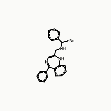 CCCCC(NCC1=CN=C(c2ccccc2)c2ccccc2N1)c1ccccc1